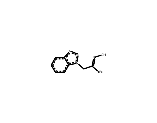 CC(C)(C)C(Cn1nnc2ccccc21)=NO